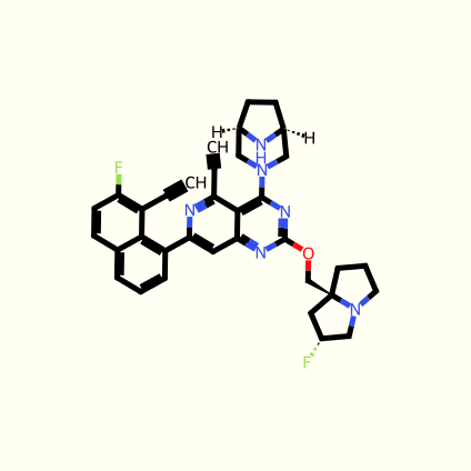 C#Cc1c(F)ccc2cccc(-c3cc4nc(OC[C@@]56CCCN5C[C@H](F)C6)nc(N5C[C@H]6CC[C@@H](C5)N6)c4c(C#C)n3)c12